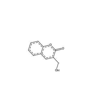 O=c1oc2ccccc2cc1[CH]O